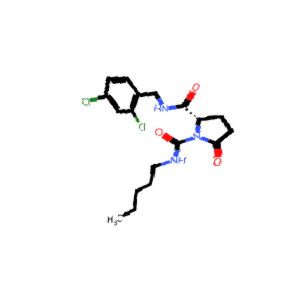 CCCCCNC(=O)N1C(=O)CC[C@H]1C(=O)NCc1ccc(Cl)cc1Cl